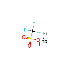 C[CH2][Yb].O=S(=O)(O)C(F)(F)F